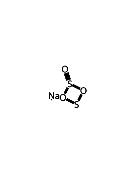 O=S1OSO1.[Na]